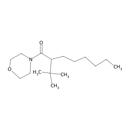 CCCCCCC(C(=O)N1CCOCC1)C(C)(C)C